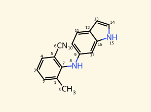 Cc1cccc(C#N)c1Nc1ccc2cc[nH]c2c1